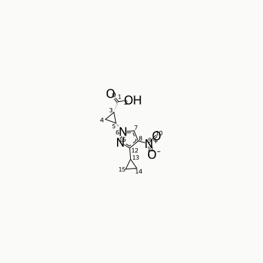 O=C(O)[C@H]1C[C@H]1n1cc([N+](=O)[O-])c(C2CC2)n1